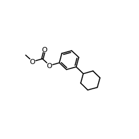 COC(=O)Oc1cccc(C2CCCCC2)c1